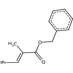 CCC/C=C(\C)C(=O)OCc1ccccc1